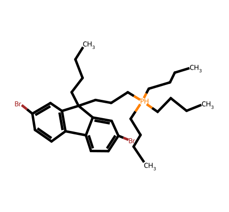 CCCCC1(CCC[PH](CCCC)(CCCC)CCCC)c2cc(Br)ccc2-c2ccc(Br)cc21